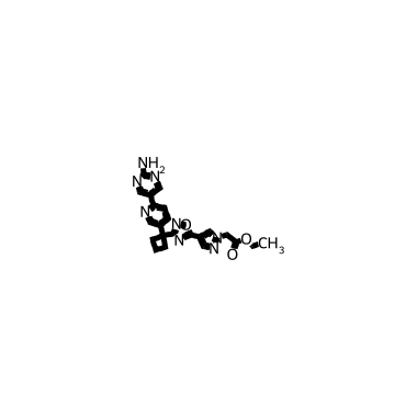 CCOC(=O)Cn1cc(-c2nc(C3(c4ccc(-c5cnc(N)nc5)nc4)CCC3)no2)cn1